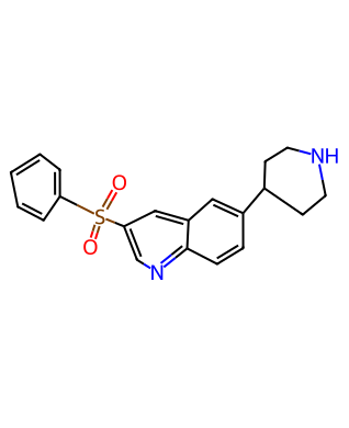 O=S(=O)(c1ccccc1)c1cnc2ccc(C3CCNCC3)cc2c1